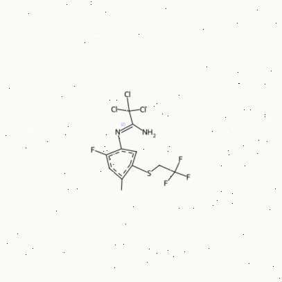 Cc1cc(F)c(/N=C(\N)C(Cl)(Cl)Cl)cc1SCC(F)(F)F